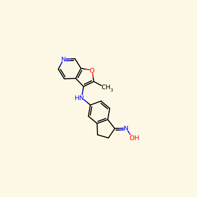 Cc1oc2cnccc2c1Nc1ccc2c(c1)CC/C2=N\O